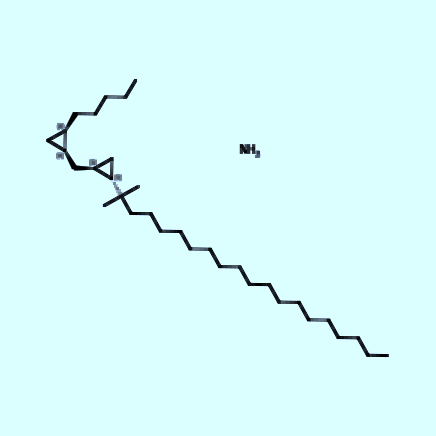 CCCCCCCCCCCCCCCCCCC(C)(C)[C@H]1C[C@@H]1C[C@H]1C[C@H]1CCCCC.N